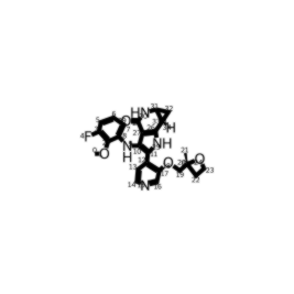 COc1c(F)cccc1Nc1c(-c2ccncc2OC[C@@]2(C)CCO2)[nH]c2c1C(=O)NC1C[C@H]21